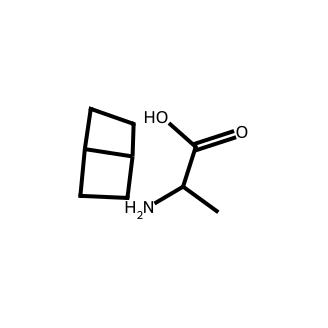 C1CC2CCC12.CC(N)C(=O)O